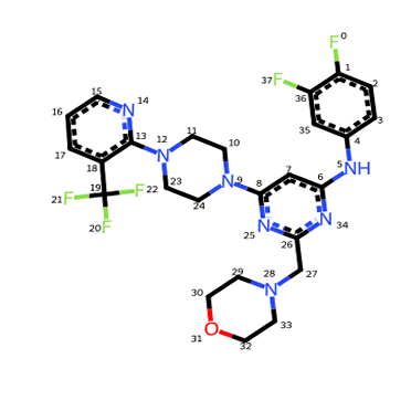 Fc1ccc(Nc2cc(N3CCN(c4ncccc4C(F)(F)F)CC3)nc(CN3CCOCC3)n2)cc1F